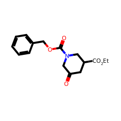 CCOC(=O)C1CC(=O)CN(C(=O)OCc2ccccc2)C1